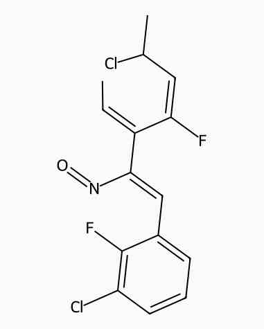 C/C=C(C(=C/c1cccc(Cl)c1F)/N=O)\C(F)=C/C(C)Cl